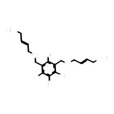 OCC=CCOCc1c(Br)c(Br)c(Br)c(COCC=CCO)c1Br